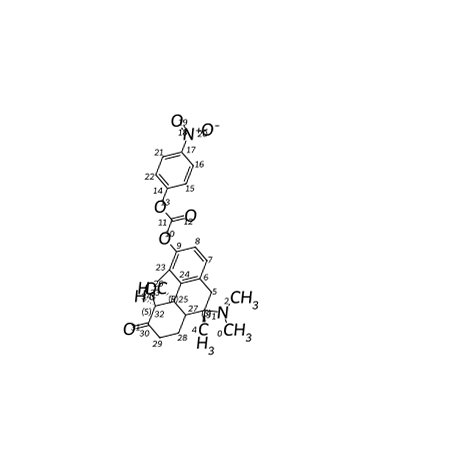 CN(C)[C@@]1(C)Cc2ccc(OC(=O)Oc3ccc([N+](=O)[O-])cc3)c3c2[C@@]2(C)C1CCC(=O)[C@H]2O3